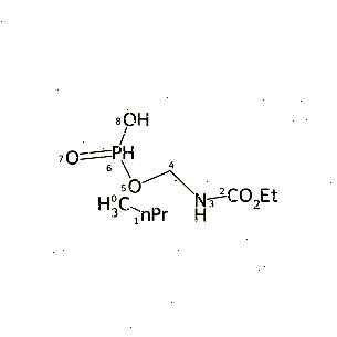 CCCC.CCOC(=O)NCO[PH](=O)O